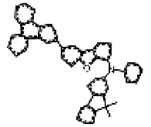 CC1(C)c2ccccc2-c2ccc(N(c3ccccc3)c3cccc4c3oc3ccc(-c5ccc6c7ccccc7c7ccccc7c6c5)cc34)cc21